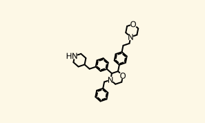 c1ccc(CN2CCOC(c3ccc(CCN4CCOCC4)cc3)C2c2cccc(CC3CCNCC3)c2)cc1